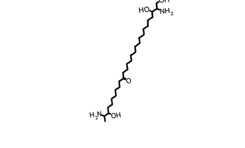 CC(N)C(O)CCCCCCCC(=O)CCCCCCCCCCCCCCC(O)C(N)CO